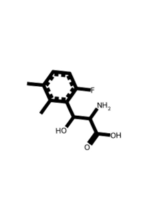 Cc1ccc(F)c(C(O)C(N)C(=O)O)c1C